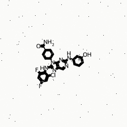 NC(=O)[C@H]1CC[C@@H](n2c(Nc3c(F)cc(F)cc3Cl)nc3cnc(N[C@@H]4CCC[C@@H](O)C4)nc32)CC1